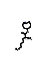 NCCCC[C@H](N)C(=O)OC1CC/C=C/CCC1